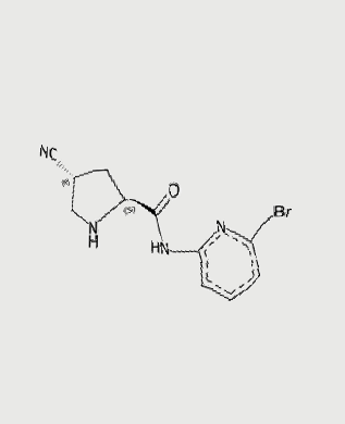 N#C[C@H]1CN[C@H](C(=O)Nc2cccc(Br)n2)C1